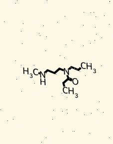 CCCN(CCCNC)C(=O)CC